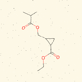 CCOC(=O)C1CC1COC(=O)C(C)C